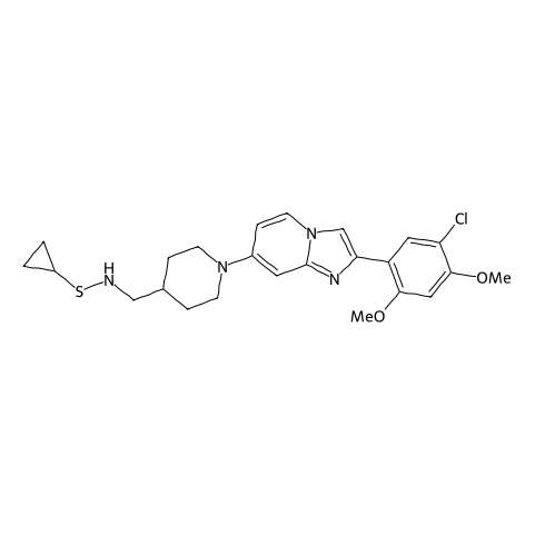 COc1cc(OC)c(-c2cn3ccc(N4CCC(CNSC5CC5)CC4)cc3n2)cc1Cl